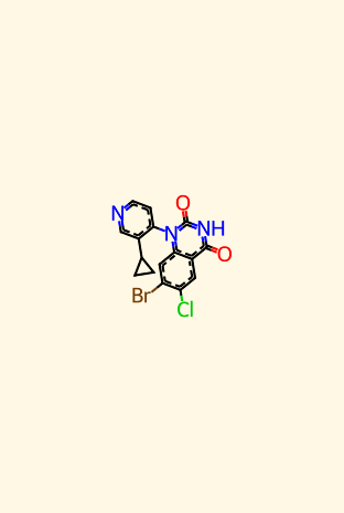 O=c1[nH]c(=O)n(-c2ccncc2C2CC2)c2cc(Br)c(Cl)cc12